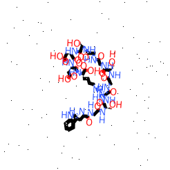 [N-]=[N+]=NNCCCC[C@H](NC(=O)[C@H](CC(=O)O)NC(=O)[C@H](CC(=O)O)NC(=O)[C@H](CO)NC(=O)CNC(=O)CNC(=O)[C@H](CO)NC(=O)CNC(=O)CNC(=O)[C@H](CO)NC(=O)CNC(=O)[C@@H](N)Cc1c[nH]c2ccccc12)C(=O)O